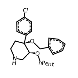 CCCCCO[C@H]1CNCC[C@]1(OCc1ccccc1)c1ccc(Cl)cc1